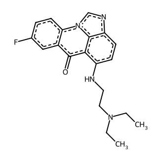 CCN(CC)CCNc1ccc2ncn3c4ccc(F)cc4c(=O)c1c23